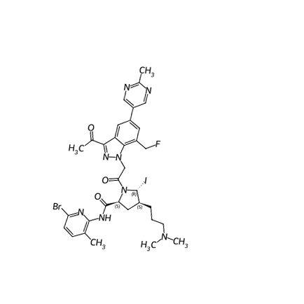 CC(=O)c1nn(CC(=O)N2[C@H](I)[C@@H](CCCN(C)C)C[C@H]2C(=O)Nc2nc(Br)ccc2C)c2c(CF)cc(-c3cnc(C)nc3)cc12